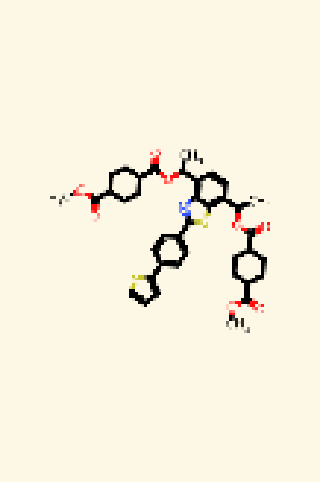 COC(=O)C1CCC(C(=O)OC(C)c2ccc(C(C)OC(=O)C3CCC(C(=O)OC)CC3)c3sc(-c4ccc(-c5cccs5)cc4)nc23)CC1